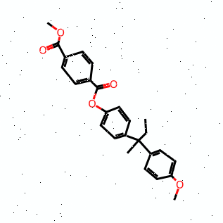 CCC(C)(c1ccc(OC)cc1)c1ccc(OC(=O)c2ccc(C(=O)OC)cc2)cc1